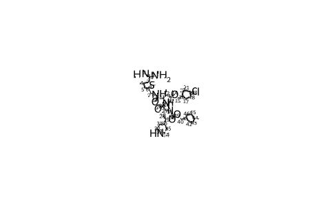 N=C(N)c1ccc(CNC(=O)[C@@H]2C[C@@H](OCc3ccc(Cl)cc3)CN2C(=O)[C@@H](CCC2CCNCC2)NC(=O)OCc2ccccc2)s1